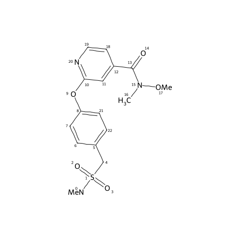 CNS(=O)(=O)Cc1ccc(Oc2cc(C(=O)N(C)OC)ccn2)cc1